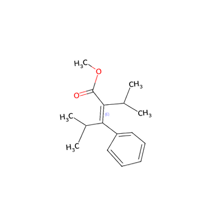 COC(=O)/C(=C(/c1ccccc1)C(C)C)C(C)C